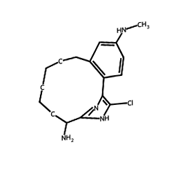 CNc1ccc2c(c1)CCCCCCC(N)c1nc-2c(Cl)[nH]1